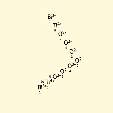 [Bi+3].[Bi+3].[O-2].[O-2].[O-2].[O-2].[O-2].[O-2].[O-2].[Ti+4].[Ti+4]